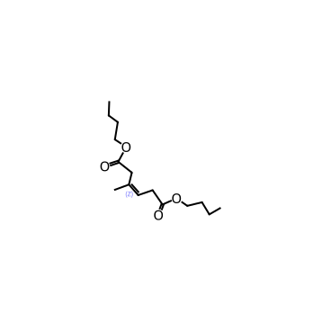 CCCCOC(=O)C/C=C(/C)CC(=O)OCCCC